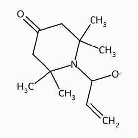 C=CC([O])N1C(C)(C)CC(=O)CC1(C)C